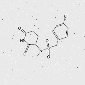 CN(C1CCC(=O)NC1=O)S(=O)(=O)Cc1ccc(Cl)cc1